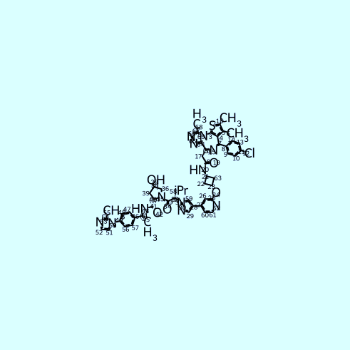 Cc1sc2c(c1C)C(c1ccc(Cl)cc1)=N[C@@H](CC(=O)N[C@H]1C[C@@H](Oc3cc(-c4cnn([C@H](C(=O)N5C[C@H](O)C[C@H]5C(=O)N[C@@H](C)c5ccc(-n6ccnc6C)cc5)C(C)C)c4)ccn3)C1)c1nnc(C)n1-2